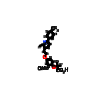 COc1cc(OCCc2ccc(-c3ccc(C(F)(F)F)cc3)nc2C)ccc1OC(C)(C)C(=O)O